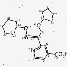 O=C(O)c1ccnc(/C(COC2CCCC2)=N/OC2CCCCO2)c1